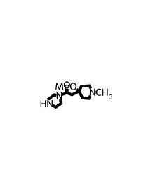 COC1(CC(=O)N2CCNCC2)CCN(C)CC1